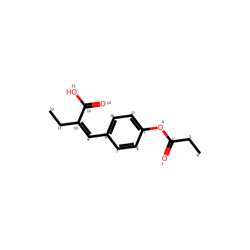 CCC(=O)Oc1ccc(C=C(CC)C(=O)O)cc1